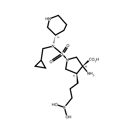 N[C@@]1(C(=O)O)CN(S(=O)(=O)N(CC2CC2)[C@H]2CCCNC2)C[C@@H]1CCCB(O)O